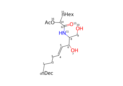 CCCCCCCCCCCCCC=CC(O)C(CO)NC(=O)C(CCCCCC)OC(C)=O